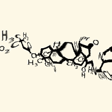 CC(C)C1=C2[C@H]3CC[C@@H]4[C@@]5(C)CC[C@H](OC(=O)CC(C)(C)C(=O)O)C(C)(C)[C@@H]5CC[C@@]4(C)[C@]3(C)CCC2(C(O)CN[C@@H](C)c2ccccn2)CC1=O